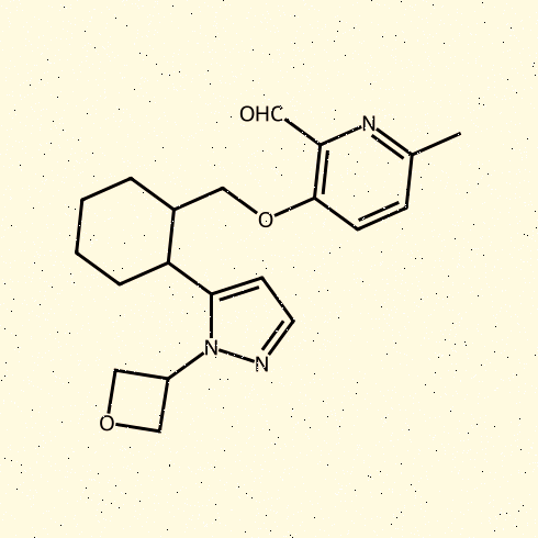 Cc1ccc(OCC2CCCCC2c2ccnn2C2COC2)c(C=O)n1